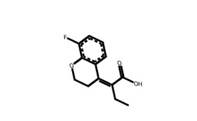 CCC(C(=O)O)=C1CCOc2c(F)cccc21